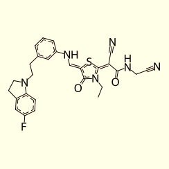 CCn1c(=C(C#N)C(=O)NCC#N)sc(=CNc2cccc(CCN3CCc4cc(F)ccc43)c2)c1=O